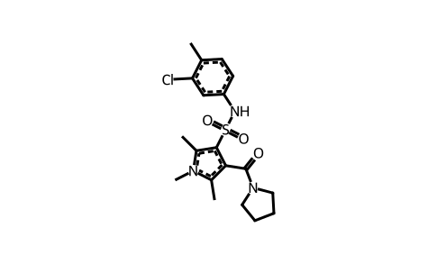 Cc1ccc(NS(=O)(=O)c2c(C(=O)N3CCCC3)c(C)n(C)c2C)cc1Cl